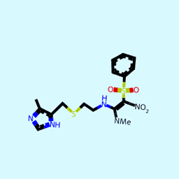 CNC(NCCSCc1[nH]cnc1C)=C([N+](=O)[O-])S(=O)(=O)c1ccccc1